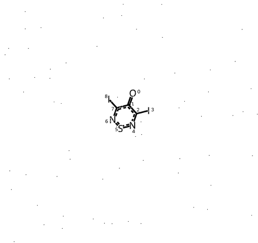 O=c1c(I)nsnc1I